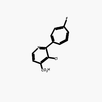 O=C(O)c1ccnc(C2=CC=C(F)C=C=C2)c1Cl